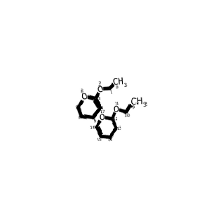 CCOC1=CCCCO1.CCOC1CCC=CO1